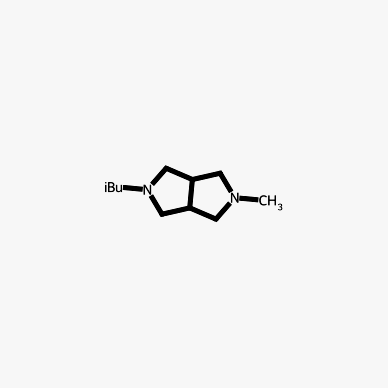 CCC(C)N1CC2CN(C)CC2C1